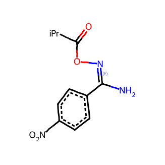 CC(C)C(=O)O/N=C(/N)c1ccc([N+](=O)[O-])cc1